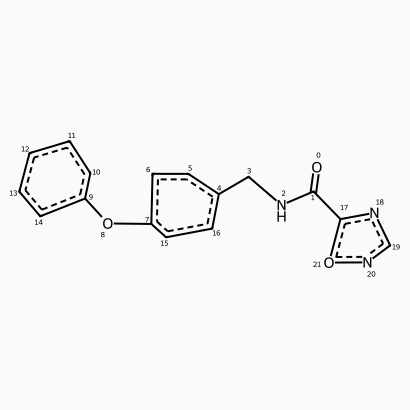 O=C(NCc1ccc(Oc2ccccc2)cc1)c1ncno1